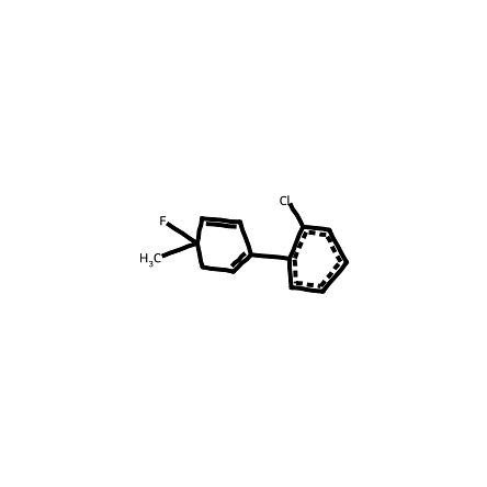 CC1(F)C=CC(c2ccccc2Cl)=CC1